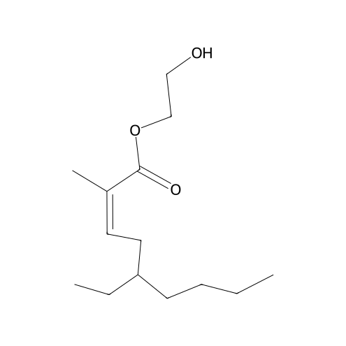 CCCCC(CC)CC=C(C)C(=O)OCCO